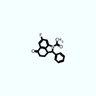 CC(=O)N1c2cc(F)cc3c2C(CCC3=O)C1c1ccccc1